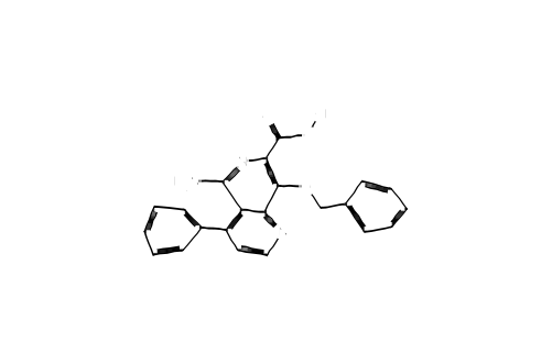 COC(=O)c1nc(N)c2c(-c3ccccc3)ccnc2c1OCc1ccccc1